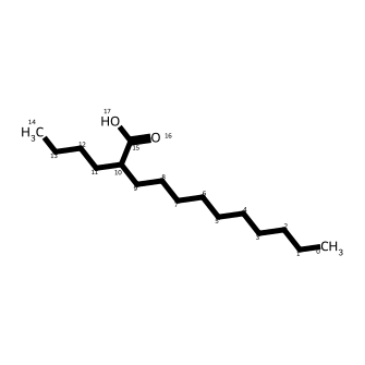 CCCCCCCCCCC(CCCC)C(=O)O